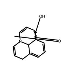 O=C1CC(O)=C2C=CN3C=CCC4=CC=CC2(O1)C43